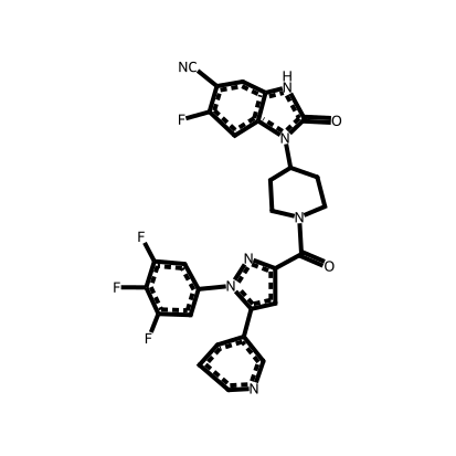 N#Cc1cc2[nH]c(=O)n(C3CCN(C(=O)c4cc(-c5cccnc5)n(-c5cc(F)c(F)c(F)c5)n4)CC3)c2cc1F